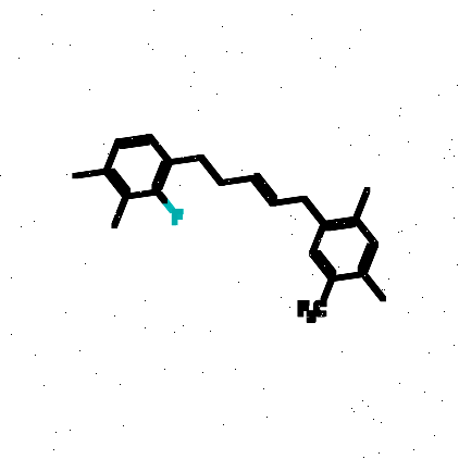 Cc1cc(C)c(C(F)(F)F)cc1C/C=C/CCc1ccc(C)c(C)c1F